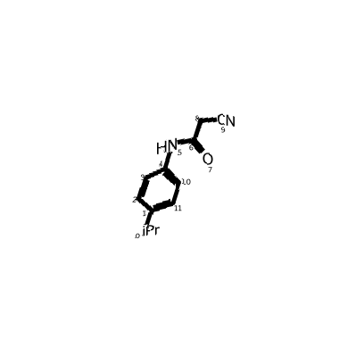 CC(C)c1ccc(NC(=O)CC#N)cc1